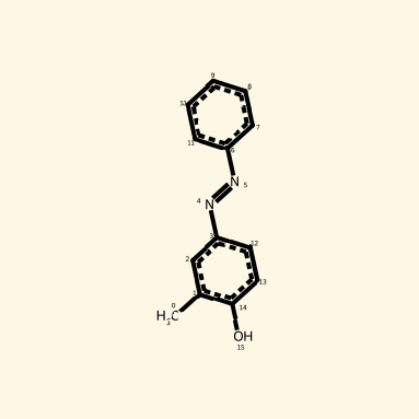 Cc1cc(/N=N/c2ccccc2)ccc1O